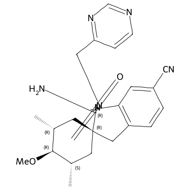 CO[C@H]1[C@H](C)C[C@@]2(Cc3ccc(C#N)cc3[C@]23N=C(N)N(Cc2ccncn2)C3=O)C[C@@H]1C